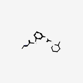 C/C=C/C(=O)Nc1cccc(OC(=O)NN2CCCCC2C)c1